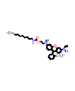 C=CN(CC)c1ccc2c(-c3ccccc3C(=O)O)c3cc/c(=[N+](/CC)CCOC(=O)NCCCCCCCCCCCCCCCCCC)cc-3oc2c1